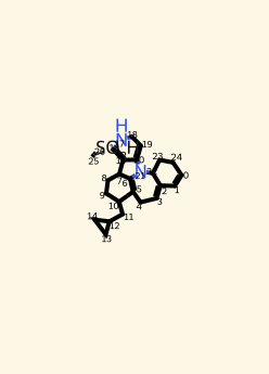 C1=CC2=CCC3=C4C(CCC3CC3CC3)C3=CNCC=C3N4C2CC1.CS(=O)(=O)O